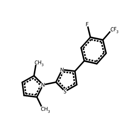 Cc1ccc(C)n1-c1nc(-c2ccc(C(F)(F)F)c(F)c2)cs1